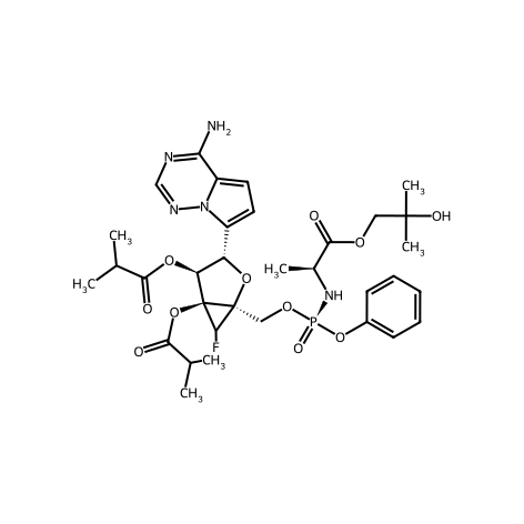 CC(C)C(=O)O[C@H]1[C@H](c2ccc3c(N)ncnn23)O[C@@]2(CO[P@](=O)(N[C@@H](C)C(=O)OCC(C)(C)O)Oc3ccccc3)C(F)[C@]12OC(=O)C(C)C